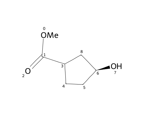 COC(=O)C1CC[C@H](O)C1